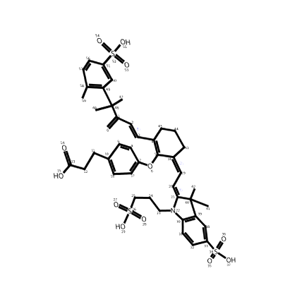 C=C(/C=C/C1=C(Oc2ccc(CCC(=O)O)cc2)C(=C\C=C2\N(CCCS(=O)(=O)O)c3ccc(S(=O)(=O)O)cc3C2(C)C)/CCC1)C(C)(C)c1cc(S(=O)(=O)O)ccc1C